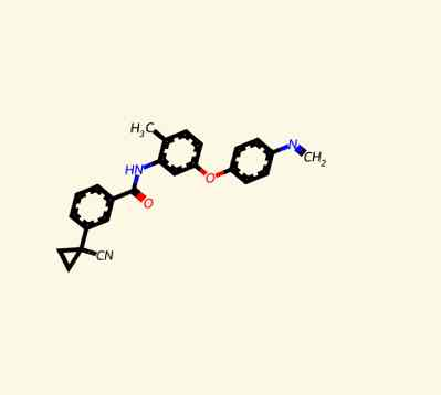 C=Nc1ccc(Oc2ccc(C)c(NC(=O)c3cccc(C4(C#N)CC4)c3)c2)cc1